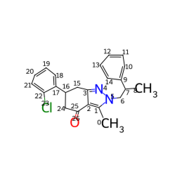 Cc1c2c(nn1CC(C)c1ccccc1)CC(c1ccccc1Cl)CC2=O